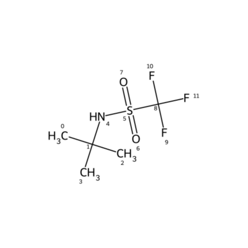 CC(C)(C)NS(=O)(=O)C(F)(F)F